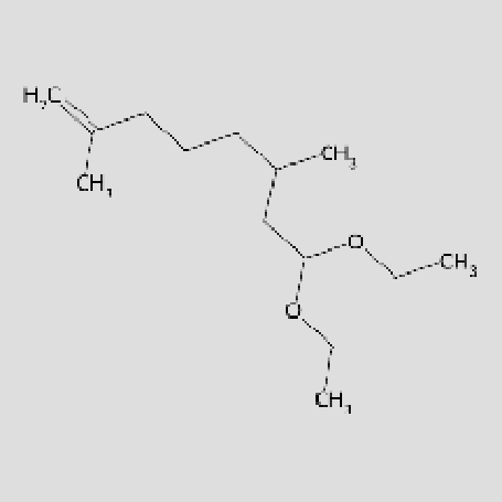 C=C(C)CCCC(C)CC(OCC)OCC